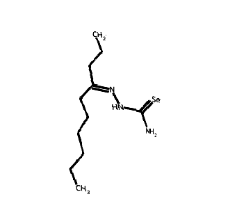 [CH2]CCC(CCCCCC)=NNC(N)=[Se]